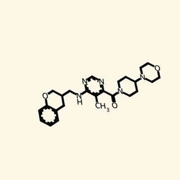 Cc1c(NCC2COc3ccccc3C2)ncnc1C(=O)N1CCC(N2CCOCC2)CC1